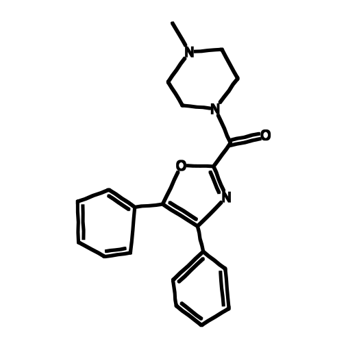 CN1CCN(C(=O)c2nc(-c3ccccc3)c(-c3ccccc3)o2)CC1